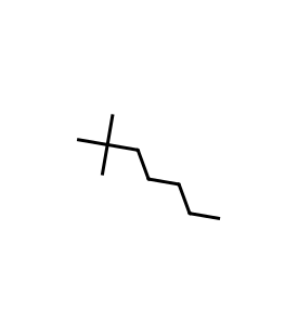 CCCCCC(C)(C)C